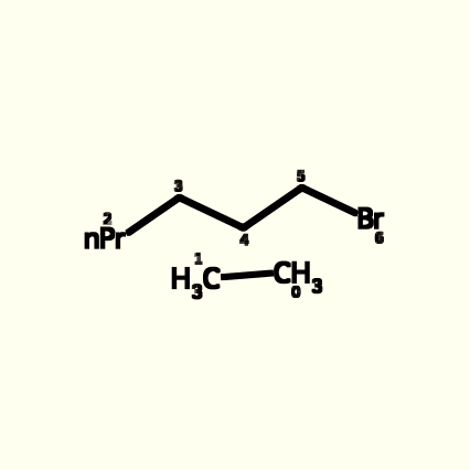 CC.CCCCCCBr